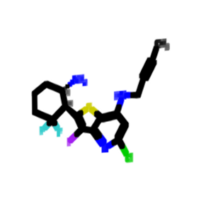 CC#CCNc1cc(Cl)nc2c(I)c([C@@H]3[C@@H](N)CCCC3(F)F)sc12